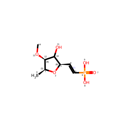 B[C@@H]1O[C@H](/C=C/P(=O)(O)O)C(O)[C@@H]1OC